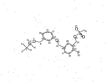 CC(C)(C)[Si](C)(C)OCc1cccc(OCc2ccc(F)c(COS(C)(=O)=O)c2)c1